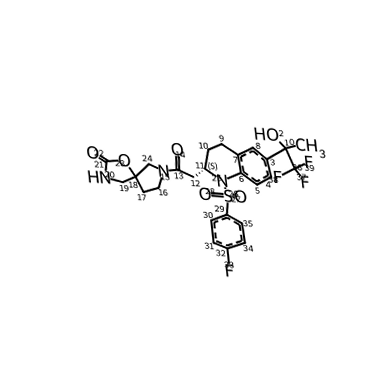 CC(O)(c1ccc2c(c1)CC[C@@H](CC(=O)N1CCC3(CNC(=O)O3)C1)N2S(=O)(=O)c1ccc(F)cc1)C(F)(F)F